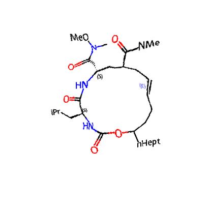 CCCCCCCC1CC/C=C/CC(C(=O)NC)C[C@@H](C(=O)N(C)OC)NC(=O)[C@H](CC(C)C)NC(=O)O1